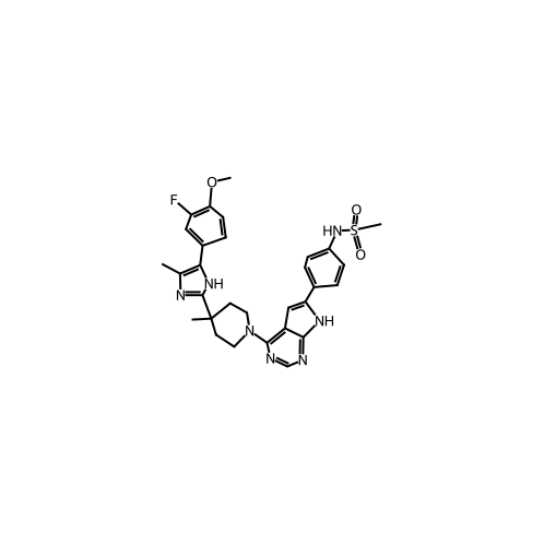 COc1ccc(-c2[nH]c(C3(C)CCN(c4ncnc5[nH]c(-c6ccc(NS(C)(=O)=O)cc6)cc45)CC3)nc2C)cc1F